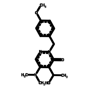 COc1ccc(Cn2ncc(N(C)C)c(C(C)O)c2=O)cc1